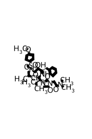 COc1ccc(S(=O)(=O)N(CC(C)C)C[C@H](O)[C@H](Cc2ccccc2)NC(=O)[C@H](C(C)C)N2CC(=O)N(CC(=O)N(C)C)C2=O)cc1